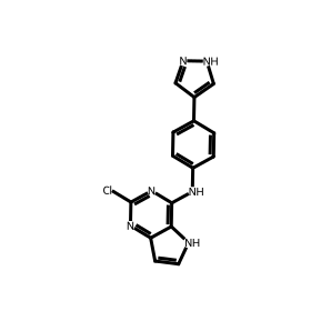 Clc1nc(Nc2ccc(-c3cn[nH]c3)cc2)c2[nH]ccc2n1